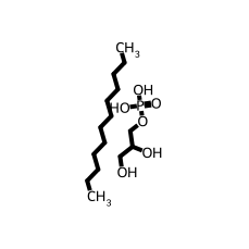 CCCCCCCCCCCC.O=P(O)(O)OCC(O)CO